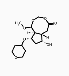 COC1OCOC(=O)C[C@H]2[C@H]1[C@@H](OC1CCOCC1)C[C@H]2O